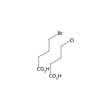 O=C(O)CCCBr.O=C(O)CCCCl